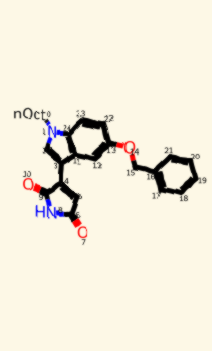 CCCCCCCCn1cc(C2=CC(=O)NC2=O)c2cc(OCc3ccccc3)ccc21